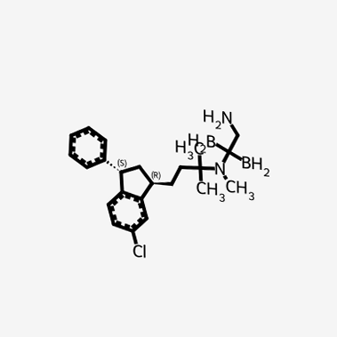 BC(B)(CN)N(C)C(C)(C)CC[C@@H]1C[C@@H](c2ccccc2)c2ccc(Cl)cc21